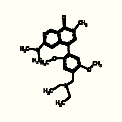 CCN(CC)Cc1cc(OC)c(-c2cn(C)c(=O)c3cnc(N(C)C)cc23)cc1OC